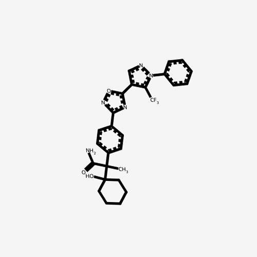 CC(C(N)=O)(c1ccc(-c2noc(-c3cnn(-c4ccccc4)c3C(F)(F)F)n2)cc1)C1(O)CCCCC1